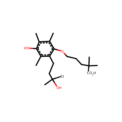 CCC(C)(O)CCc1c(C)c(O)c(C)c(C)c1OCCCC(C)(C)C(=O)O